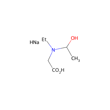 CCN(CC(=O)O)C(C)O.[NaH]